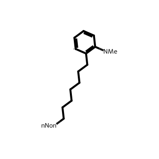 CCCCCCCCCCCCCCCCc1[c]cccc1NC